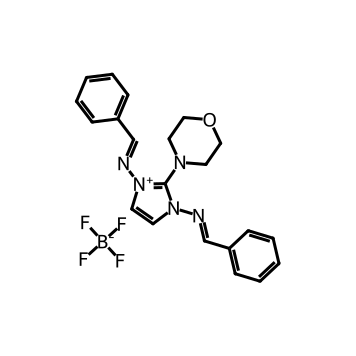 C(=N\n1cc[n+](/N=C/c2ccccc2)c1N1CCOCC1)/c1ccccc1.F[B-](F)(F)F